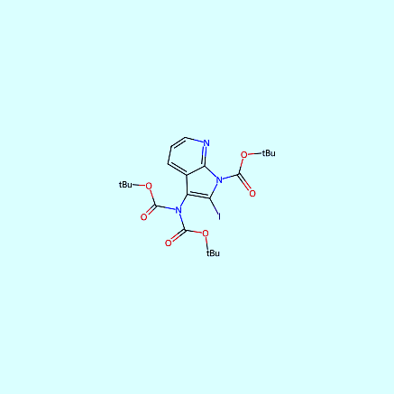 CC(C)(C)OC(=O)N(C(=O)OC(C)(C)C)c1c(I)n(C(=O)OC(C)(C)C)c2ncccc12